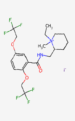 CC[N+]1(C)CCCCC1CNC(=O)c1cc(OCC(F)(F)F)ccc1OCC(F)(F)F.[I-]